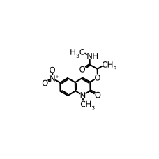 CNC(=O)C(C)Oc1cc2cc([N+](=O)[O-])ccc2n(C)c1=O